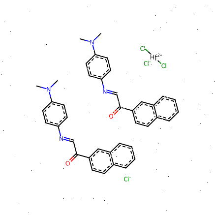 CN(C)c1ccc(N=CC(=O)c2ccc3ccccc3c2)cc1.CN(C)c1ccc(N=CC(=O)c2ccc3ccccc3c2)cc1.[Cl-].[Cl-].[Cl][Hf+2][Cl]